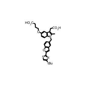 Cc1c(CC(=O)O)c2cc(OCCCC(=O)O)ccc2n1Cc1ccc2oc(-c3nc(C(C)(C)C)cs3)cc2c1